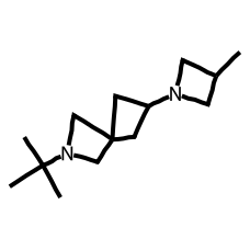 CC1CN(C2CC3(C2)CN(C(C)(C)C)C3)C1